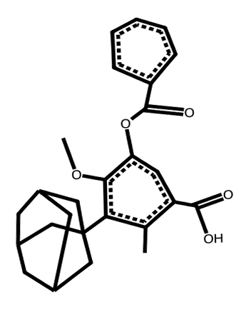 COc1c(OC(=O)c2ccccc2)cc(C(=O)O)c(C)c1C12CC3CC(CC(C3)C1)C2